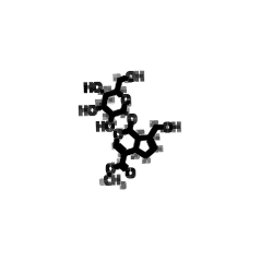 COC(=O)C1=COC(O[C@H]2OC(CO)[C@@H](O)[C@H](O)C2O)C2C(CO)=CCC12